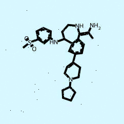 C/C(N)=C1/NCCC(Nc2cccc(S(C)(=O)=O)c2)c2cc(C3=CCN(C4CCCC4)CC3)ccc21